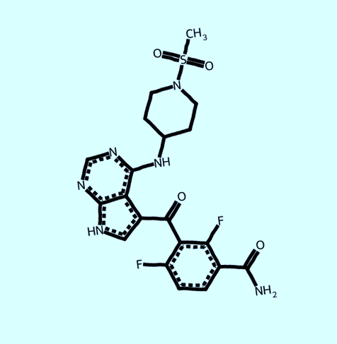 CS(=O)(=O)N1CCC(Nc2ncnc3[nH]cc(C(=O)c4c(F)ccc(C(N)=O)c4F)c23)CC1